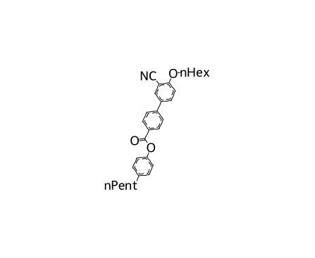 CCCCCCOc1ccc(-c2ccc(C(=O)Oc3ccc(CCCCC)cc3)cc2)cc1C#N